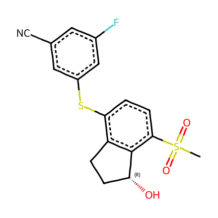 CS(=O)(=O)c1ccc(Sc2cc(F)cc(C#N)c2)c2c1[C@H](O)CC2